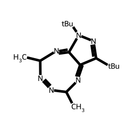 CC1/N=N\C(C)/N=c2\c(c(C(C)(C)C)nn2C(C)(C)C)=N/1